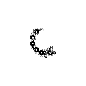 CC(C)c1cnc(OC2CCN(c3ccc(CN4CCC(c5ccc6c(c5)CN(C5CCC(=O)NC5=O)C6=O)CC4)cc3)CC2)nc1